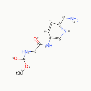 CC(C)(C)OC(=O)NCC(=O)Nc1ccc(CN)nc1